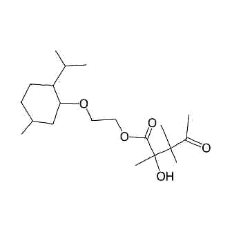 CC(=O)C(C)(C)C(C)(O)C(=O)OCCOC1CC(C)CCC1C(C)C